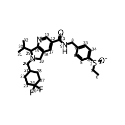 CC[S+]([O-])c1ccc(CNC(=O)c2cnc3c(c2)CN(CC2CCC(F)(F)CC2)C3C(C)C)cc1